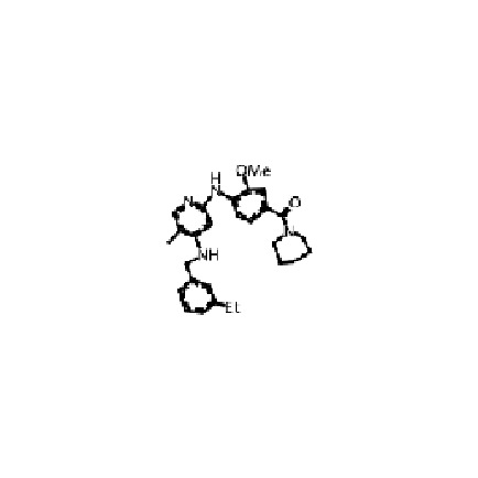 CCc1cccc(CNc2cc(Nc3ccc(C(=O)N4CCCCC4)cc3OC)ncc2C)c1